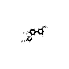 CCOc1cc(F)cc(-c2ccc(C)c(-n3ccc(C)n3)c2)c1